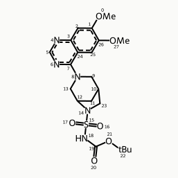 COc1cc2ncnc(N3CC4CC(C3)N(S(=O)(=O)NC(=O)OC(C)(C)C)C4)c2cc1OC